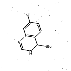 CC(C)(C)C1NC=Nc2cc(Cl)ccc21